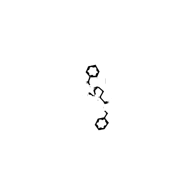 C[C@]12CC(C(=O)OCc3ccccc3)N(C1)C(=O)N2C(=O)c1ccccc1